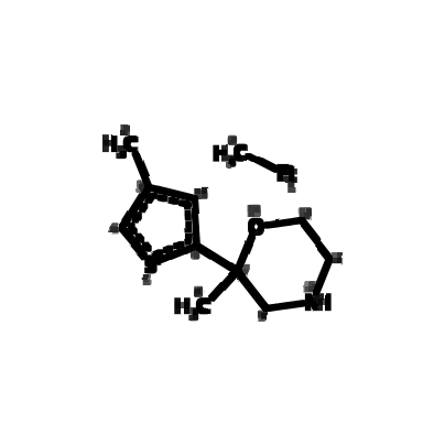 CCC.Cc1csc(C2(C)CNCCO2)c1